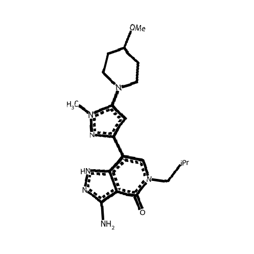 COC1CCN(c2cc(-c3cn(CC(C)C)c(=O)c4c(N)n[nH]c34)nn2C)CC1